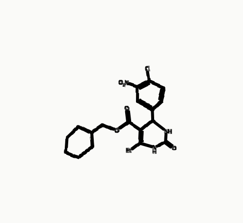 CCC1=C(C(=O)OCC2CCCCC2)C(c2ccc(Cl)c([N+](=O)[O-])c2)NC(=O)N1